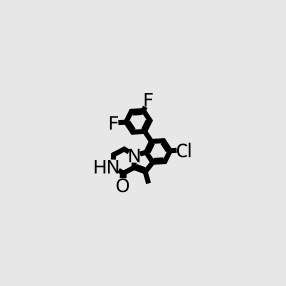 Cc1c2n(c3c(-c4cc(F)cc(F)c4)cc(Cl)cc13)CCNC2=O